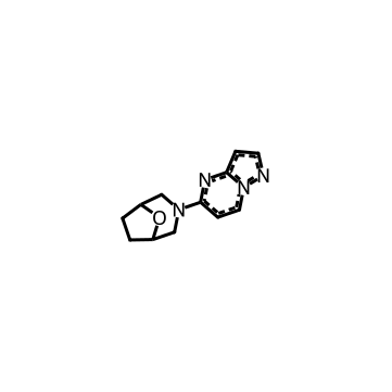 c1cc2nc(N3CC4CCC(C3)O4)ccn2n1